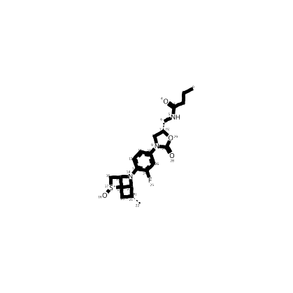 CCCC(=O)NC[C@H]1CN(c2ccc(N3C4C[S+]([O-])C45C[C@@H](C)C35)c(F)c2)C(=O)O1